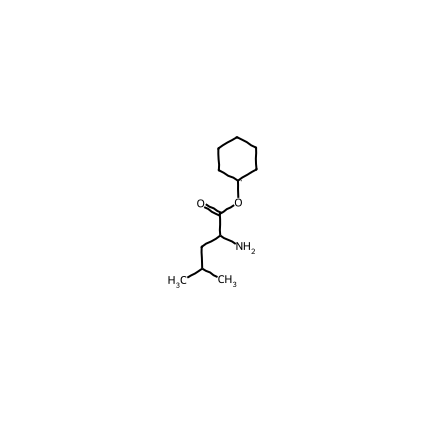 CC(C)CC(N)C(=O)O[C]1CCCCC1